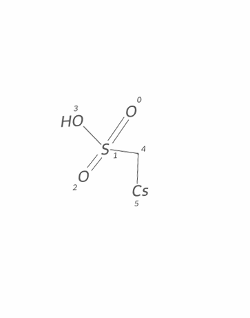 O=S(=O)(O)[CH2][Cs]